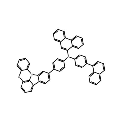 c1ccc2c(c1)Oc1cccc3c4ccc(-c5ccc(N(c6ccc(-c7cccc8ccccc78)cc6)c6cc7ccccc7c7ccccc67)cc5)cc4n-2c13